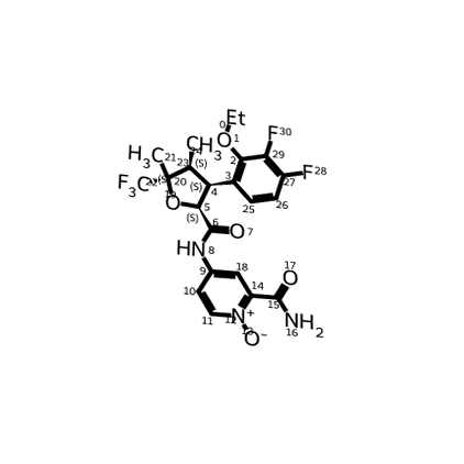 CCOc1c([C@H]2[C@@H](C(=O)Nc3cc[n+]([O-])c(C(N)=O)c3)O[C@](C)(C(F)(F)F)[C@H]2C)ccc(F)c1F